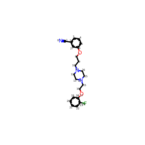 N#Cc1cccc(OCCCN2CCN(CCOc3ccccc3F)CC2)c1